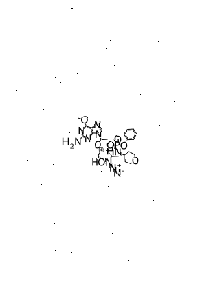 COc1nc(N)nc2c1ncn2C(C)O[C@H](CO)C(OP(=O)(NC1CCOCC1)Oc1ccccc1)C(C)N=[N+]=[N-]